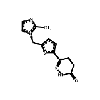 Cc1nccn1Cc1ccc(C2=NNC(=O)CC2)s1